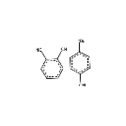 CC(C)(C)c1ccc(O)cc1.N#Cc1ccccc1C#N